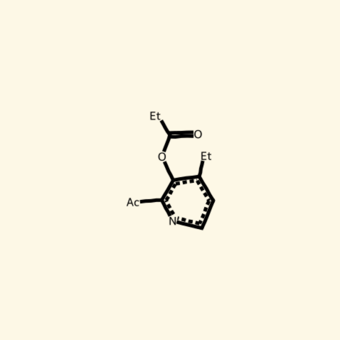 CCC(=O)Oc1c(CC)ccnc1C(C)=O